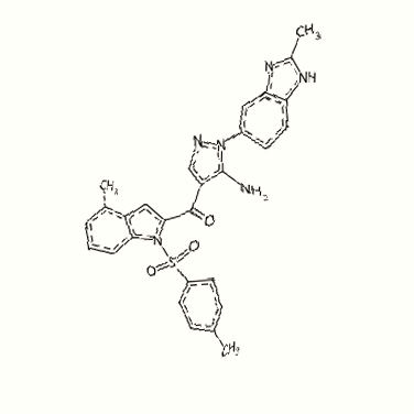 Cc1ccc(S(=O)(=O)n2c(C(=O)c3cnn(-c4ccc5[nH]c(C)nc5c4)c3N)cc3c(C)cccc32)cc1